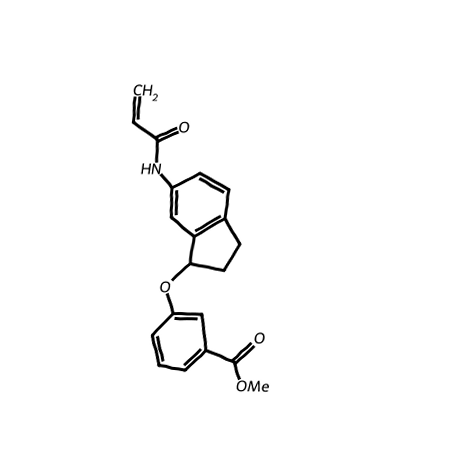 C=CC(=O)Nc1ccc2c(c1)C(Oc1cccc(C(=O)OC)c1)CC2